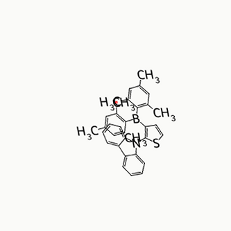 Cc1cc(C)c(B(c2ccsc2-n2c3ccccc3c3ccccc32)c2c(C)cc(C)cc2C)c(C)c1